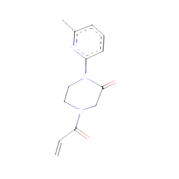 C=CC(=O)N1CCN(c2cccc(C)n2)C(=O)C1